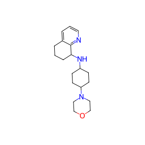 c1cnc2c(c1)CCCC2NC1CCC(N2CCOCC2)CC1